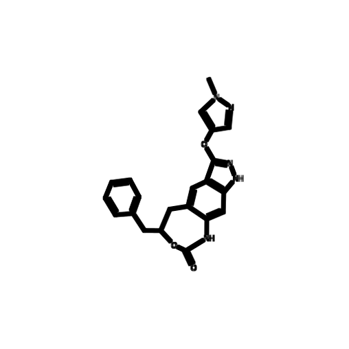 Cn1cc(Oc2n[nH]c3cc4c(cc23)CC(Cc2ccccc2)OC(=O)N4)cn1